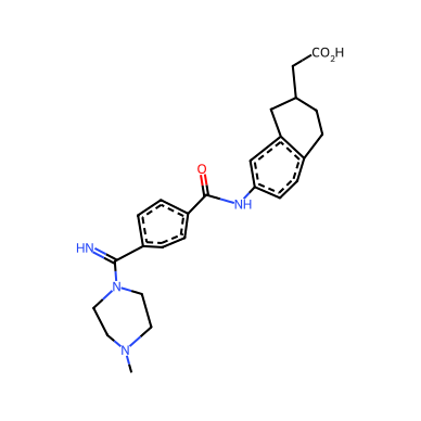 CN1CCN(C(=N)c2ccc(C(=O)Nc3ccc4c(c3)CC(CC(=O)O)CC4)cc2)CC1